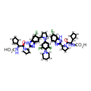 O=C(O)NC(C(=O)N1CCC[C@H]1c1nc2cc(C3CC[C@H](c4cc5nc([C@@H]6CCCN6C(=O)C(NC(=O)O)C6CCCC6)[nH]c5cc4F)N3c3cc(F)c(N4CCCCC4)c(F)c3)c(F)cc2[nH]1)C1CCCC1